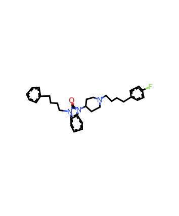 O=c1n(CCCCc2ccccc2)c2ccccc2n1C1CCN(CCCCc2ccc(F)cc2)CC1